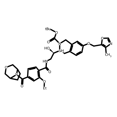 CCOc1cc(C(=O)N2C3CCC2COC3)ccc1C(=O)NC[C@@H](O)[Si@@H]1Cc2ccc(OCc3ocnc3C)cc2CN1C(=O)OC(C)(C)C